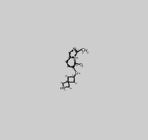 Cc1ncc2ccc(OC3CC4(CNC4)C3)c(Cl)n12